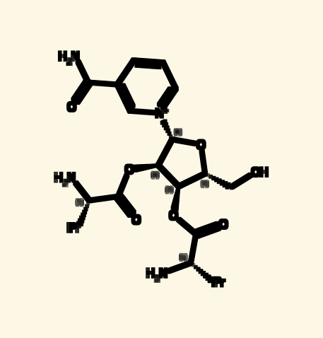 CC(C)[C@H](N)C(=O)O[C@@H]1[C@H](OC(=O)[C@@H](N)C(C)C)[C@@H](CO)O[C@H]1[n+]1cccc(C(N)=O)c1